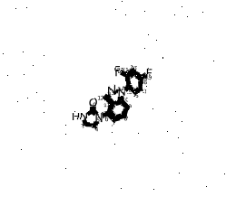 O=C1NCCN1c1cccc2c1cnn2-c1ccc(F)cc1F